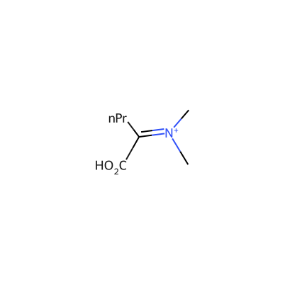 CCCC(C(=O)O)=[N+](C)C